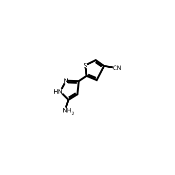 N#Cc1csc(-c2cc(N)[nH]n2)c1